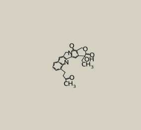 CCC1(O)C(=O)OCc2c1cc1n(c2=O)Cc2cc3cccc(CCC(C)=O)c3nc2-1